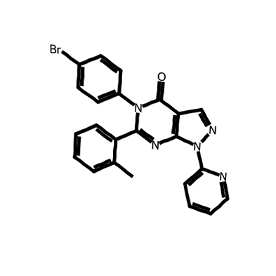 Cc1ccccc1-c1nc2c(cnn2-c2ccccn2)c(=O)n1-c1ccc(Br)cc1